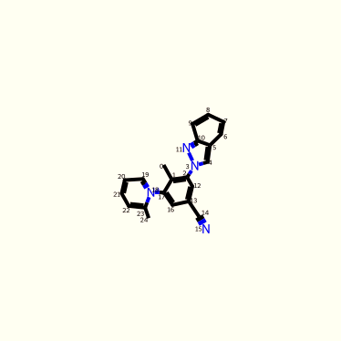 Cc1c(-n2cc3ccccc3n2)cc(C#N)cc1-[n+]1ccccc1C